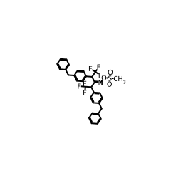 CS(=O)(=O)ON=C(C(c1ccc(Cc2ccccc2)cc1)C(F)(F)F)C(c1ccc(Cc2ccccc2)cc1)C(F)(F)F